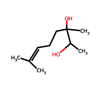 CC(C)=CCCC(C)(O)C(C)O